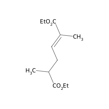 CCOC(=O)/C(C)=C/CC(C)C(=O)OCC